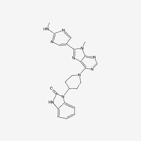 CNc1ncc(-c2nc3c(N4CCC(n5c(=O)[nH]c6ccccc65)CC4)ncnc3n2C)cn1